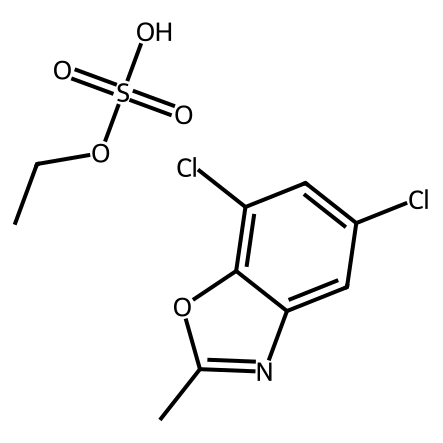 CCOS(=O)(=O)O.Cc1nc2cc(Cl)cc(Cl)c2o1